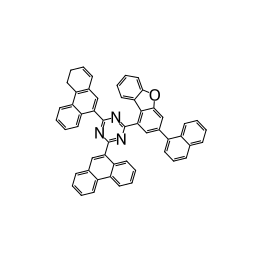 C1=Cc2cc(-c3nc(-c4cc5ccccc5c5ccccc45)nc(-c4cc(-c5cccc6ccccc56)cc5oc6ccccc6c45)n3)c3ccccc3c2CC1